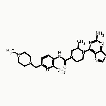 Cc1nc(CN2CCN(C)CC2)ccc1NC(=O)N1CCN(c2nc(N)nc3scnc23)C(C)C1